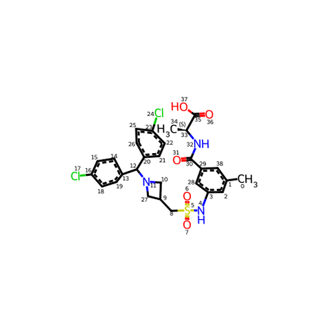 Cc1cc(NS(=O)(=O)CC2CN(C(c3ccc(Cl)cc3)c3ccc(Cl)cc3)C2)cc(C(=O)N[C@@H](C)C(=O)O)c1